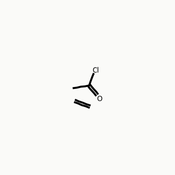 C=C.CC(=O)Cl